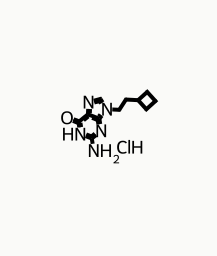 Cl.Nc1nc2c(ncn2CCC2CCC2)c(=O)[nH]1